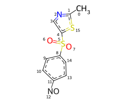 Cc1ncc(S(=O)(=O)c2ccc(N=O)cc2)s1